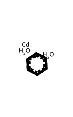 O.O.[Cd].c1ccccc1